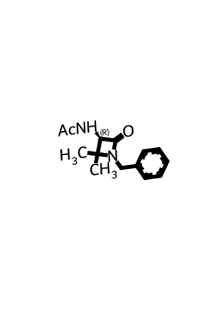 CC(=O)N[C@H]1C(=O)N(Cc2ccccc2)C1(C)C